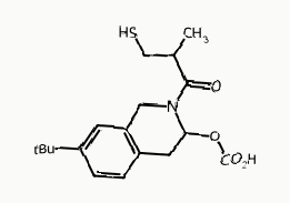 CC(CS)C(=O)N1Cc2cc(C(C)(C)C)ccc2CC1OC(=O)O